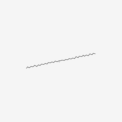 CCCCCCCCCCCCCCCCCCC[CH]CCCCCCCCCCCCCCCCCCCCC